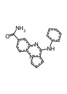 NC(=O)c1ccc2c(c1)nc(Nc1ccccc1)c1cccn12